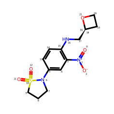 O=[N+]([O-])c1cc(N2CCCS2(=O)=O)ccc1NC[C@@H]1CCO1